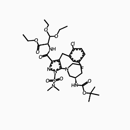 CCOC(=O)C(NC(=O)c1nn(S(=O)(=O)N(C)C)c(N2CCC[C@@H](NC(=O)OC(C)(C)C)C2)c1Cc1cc(F)ccc1Cl)C(OCC)OCC